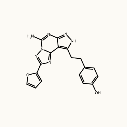 Nc1nc2n[nH]c(CCc3ccc(O)cc3)c2c2nc(-c3ccco3)nn12